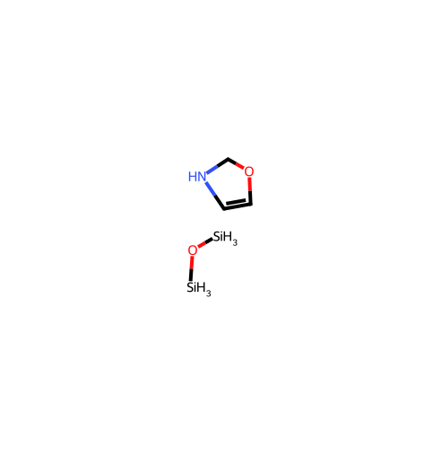 C1=COCN1.[SiH3]O[SiH3]